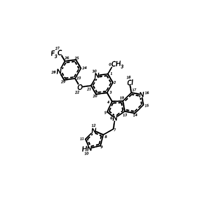 Cc1cc(-c2cn(Cc3c[nH]cn3)c3ccnc(Cl)c23)cc(Oc2ccc(C(F)(F)F)nc2)n1